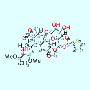 C=C(/C=C(OC)\C(O)=C(/C)OC)[C@@H]1c2cc3c(cc2[C@@H](O[C@@H]2O[C@@H]4COC(c5cccs5)O[C@H]4[C@H](O)[C@H]2O)[C@H]2COC(=O)[C@@H]21)OCO3